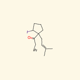 CC(C)=CCC1(C(=O)CC(C)C)CCCC1I